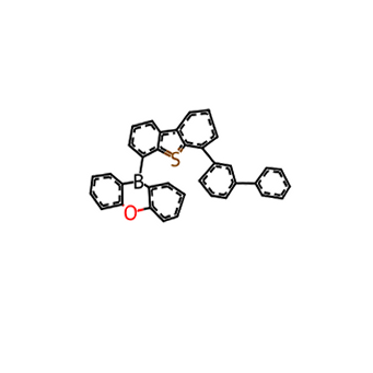 c1ccc(-c2cccc(-c3cccc4c3sc3c(B5c6ccccc6Oc6ccccc65)cccc34)c2)cc1